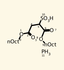 CCCCCCCCOC(=O)CC(C(=O)OCCCCCCCC)S(=O)(=O)O.P